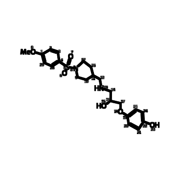 COc1ccc(S(=O)(=O)N2CCC(CNC[C@H](O)COc3ccc(O)cc3)CC2)cc1